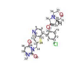 Cc1cc(Cl)cc(-c2ccnc3cc(Cn4c(=O)ccn(C)c4=O)sc23)c1O[C@@H]1C[C@H]2COCCN2C1